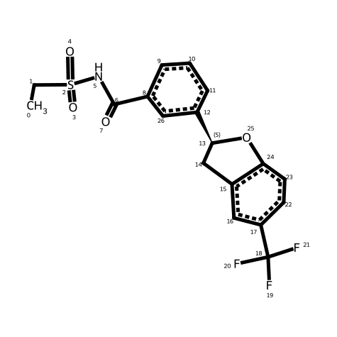 CCS(=O)(=O)NC(=O)c1cccc([C@@H]2Cc3cc(C(F)(F)F)ccc3O2)c1